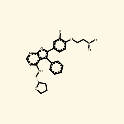 CCN(CC)CCOc1ccc(-c2oc3ncnc(NC[C@@H]4CCCO4)c3c2-c2ccccc2)cc1F